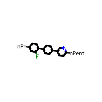 CCCCCc1ccc(-c2ccc(-c3ccc(CCC)cc3F)cc2)cn1